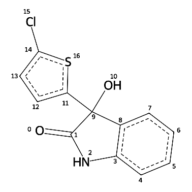 O=C1Nc2ccccc2C1(O)c1ccc(Cl)s1